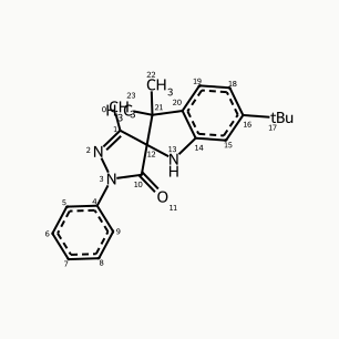 CC1=NN(c2ccccc2)C(=O)C12Nc1cc(C(C)(C)C)ccc1C2(C)C